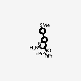 CCCN(CCC)C(=O)C1=Cc2ccc(-c3ccc(SC)cc3)cc2N=C(N)C1